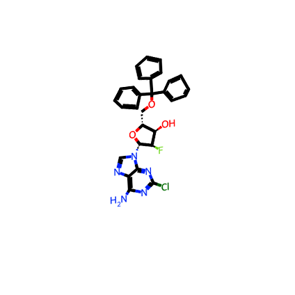 Nc1nc(Cl)nc2c1ncn2[C@@H]1O[C@H](COC(c2ccccc2)(c2ccccc2)c2ccccc2)[C@@H](O)[C@H]1F